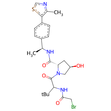 Cc1ncsc1-c1ccc([C@H](C)NC(=O)[C@@H]2C[C@@H](O)CN2C(=O)C(NC(=O)CBr)C(C)(C)C)cc1